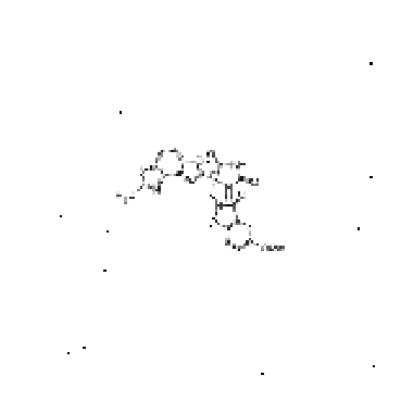 COc1ccc2c(c1)C(=O)N(C[C@@]1(c3cc4c(ccc5sc(C)nc54)o3)NC(=O)NC1=O)C2